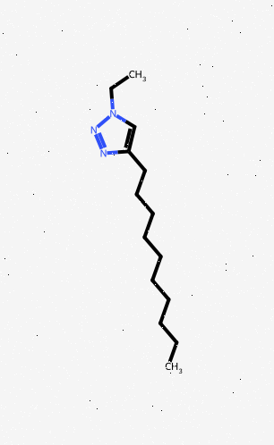 CCCCCCCCCCc1cn(CC)nn1